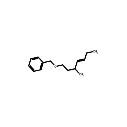 CCC=CC(C)CCOCc1ccccc1